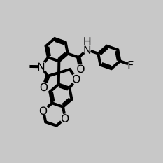 CN1C(=O)C2(COc3cc4c(cc32)OCCO4)c2c(C(=O)Nc3ccc(F)cc3)cccc21